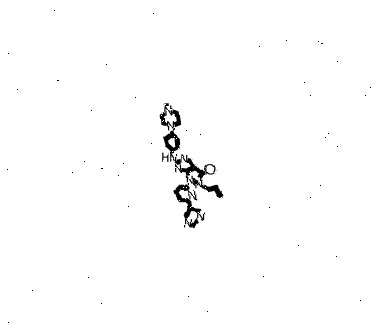 C=CCn1c(=O)c2cnc(Nc3ccc(N4CCN(C)CC4)cc3)nc2n1-c1cccc(-c2cncnc2)n1